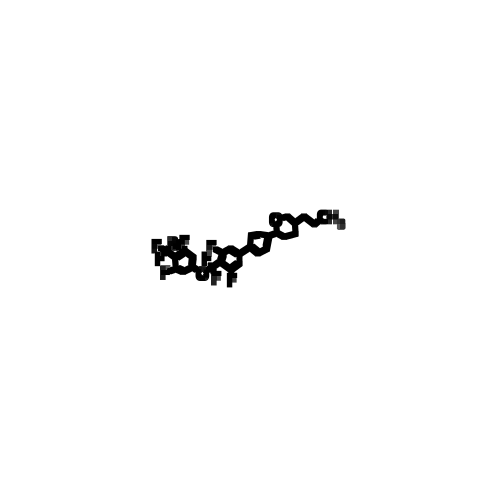 CCCC1CCC(c2ccc(-c3cc(F)c(C(F)(F)Oc4cc(F)c(C(F)(F)Br)c(F)c4)c(F)c3)cc2)OC1